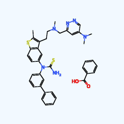 Cc1sc2ccc(N(C(N)=S)c3cccc(-c4ccccc4)c3)cc2c1CCN(C)Cc1cc(N(C)C)cnn1.O=C(O)c1ccccc1